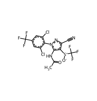 CC(=O)Nc1c([S+]([O-])C(F)(F)F)c(C#N)nn1-c1c(Cl)cc(C(F)(F)F)cc1Cl